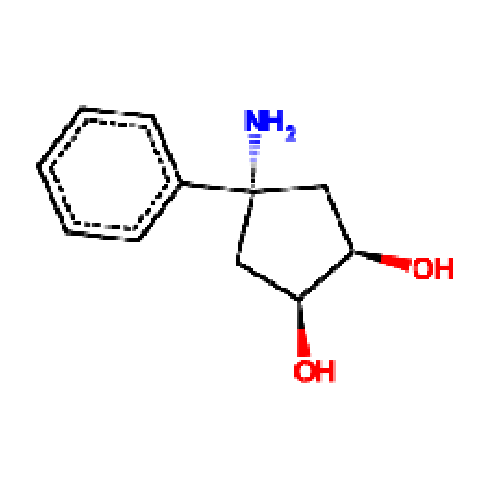 N[C@]1(c2ccccc2)C[C@@H](O)[C@@H](O)C1